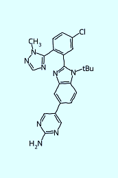 Cn1ncnc1-c1ccc(Cl)cc1-c1nc2cc(-c3cnc(N)nc3)ccc2n1C(C)(C)C